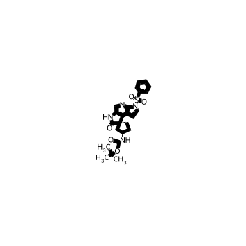 CC(C)(C)OC(=O)N[C@H]1CC[C@]2(C1)C(=O)Nc1cnc3c(ccn3S(=O)(=O)c3ccccc3)c12